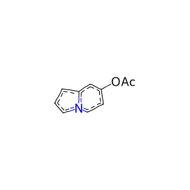 CC(=O)Oc1ccn2cccc2c1